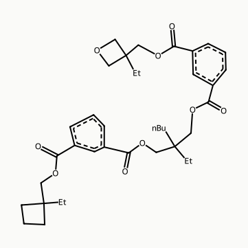 CCCCC(CC)(COC(=O)c1cccc(C(=O)OCC2(CC)CCC2)c1)COC(=O)c1cccc(C(=O)OCC2(CC)COC2)c1